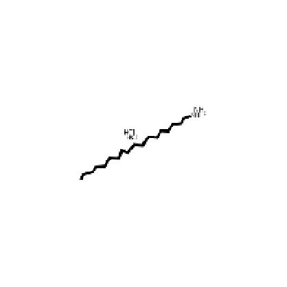 CCCCCCCCCCCCCCCCCCNN.Cl.Cl